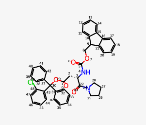 O=C(C[C@H](NC(=O)OCC1c2ccccc2-c2ccccc21)C(=O)N1CCCC1)OC(c1ccccc1)(c1ccccc1)c1ccccc1Cl